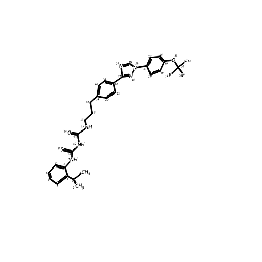 CC(C)c1ccccc1NC(=S)NC(=O)NCCCc1ccc(-c2ncn(-c3ccc(OC(F)(F)F)cc3)n2)cc1